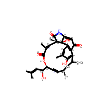 CC[C@H]1/C=C\[C@@H]([C@@H](O)C=C(C)C)OC(=O)/C(C)=C\[C@@H]2C(=O)NC3=CC(=O)c4c(cc(C)c(O)c4C(C=O)C1)[C@@]32O